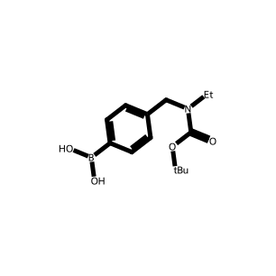 CCN(Cc1ccc(B(O)O)cc1)C(=O)OC(C)(C)C